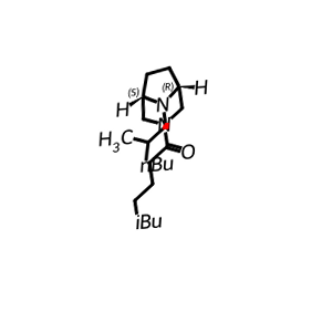 CCCCC(C)CN1[C@@H]2CC[C@H]1CN(C(=O)CCCC(C)CC)C2